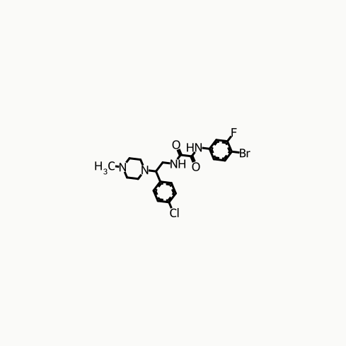 CN1CCN(C(CNC(=O)C(=O)Nc2ccc(Br)c(F)c2)c2ccc(Cl)cc2)CC1